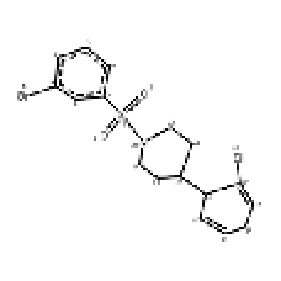 O=S(=O)(c1cccc(Br)c1)N1CCC(C2C=CCC=C2Cl)CC1